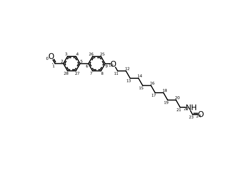 O=[C]c1ccc(-c2ccc(OCCCCCCCCCCCNC=O)cc2)cc1